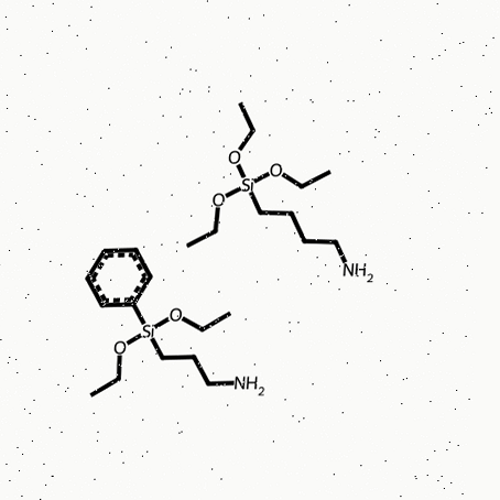 CCO[Si](CCCCN)(OCC)OCC.CCO[Si](CCCN)(OCC)c1ccccc1